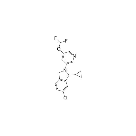 FC(F)Oc1cncc(N2Cc3ccc(Cl)cc3C2C2CC2)c1